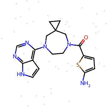 Nc1ccc(C(=O)N2CCN(c3ncnc4[nH]ccc34)CC3(CC3)C2)s1